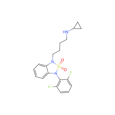 O=S1(=O)N(CCCCNC2CC2)c2ccccc2N1c1c(F)cccc1F